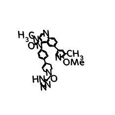 COc1ncc(-c2ccc3ncc4c(c3c2)n(-c2ccc(C3=CCN(C(=O)c5nnc[nH]5)CC3)cc2)c(=O)n4C)cc1C